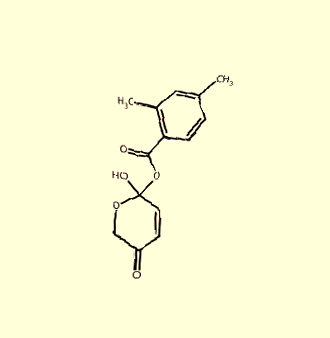 Cc1ccc(C(=O)OC2(O)C=CC(=O)CO2)c(C)c1